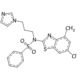 Cc1cc(Cl)cc2sc(N(CCCn3ccnc3)S(=O)(=O)c3ccccc3)nc12